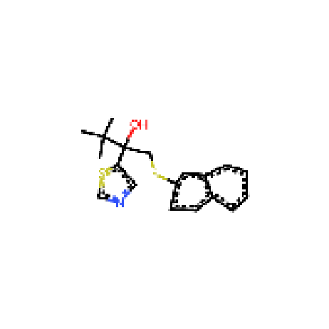 CC(C)(C)C(O)(CSc1ccc2ccccc2c1)c1cncs1